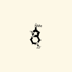 CNc1cc2n(n1)CC[S+]([O-])C2